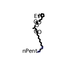 CCCCC/C=C\C/C=C\CCCCCCCC(=O)OCC(C)COC(=O)OCCC1CCCN1CC